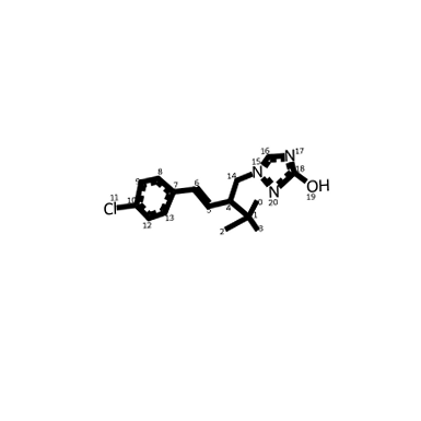 CC(C)(C)C(C=Cc1ccc(Cl)cc1)Cn1cnc(O)n1